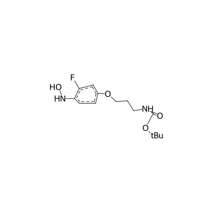 CC(C)(C)OC(=O)NCCCOc1ccc(NO)c(F)c1